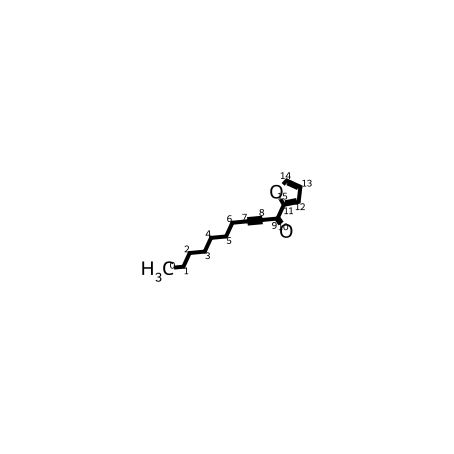 CCCCCCCC#CC(=O)c1ccco1